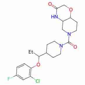 CCC(Oc1ccc(F)cc1Cl)C1CCN(C(=O)N2CCC3OCC(=O)NC3C2)CC1